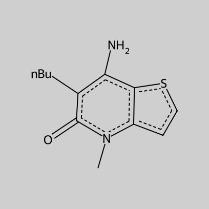 CCCCc1c(N)c2sccc2n(C)c1=O